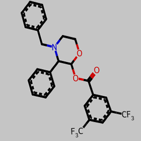 O=C(OC1OCCN(Cc2ccccc2)C1c1ccccc1)c1cc(C(F)(F)F)cc(C(F)(F)F)c1